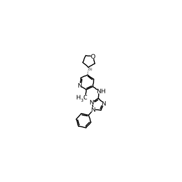 Cc1ncc([C@@H]2CCOC2)cc1Nc1ncn(-c2ccccc2)n1